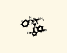 CCN1CCCC1CN(c1ccc(Br)cc1)c1nc(N)nc(NC2CCCCCC2)n1